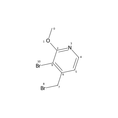 COc1nccc(CBr)c1Br